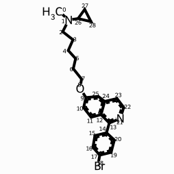 CN(CCCCCCOc1ccc2c(-c3ccc(Br)cc3)nccc2c1)C1CC1